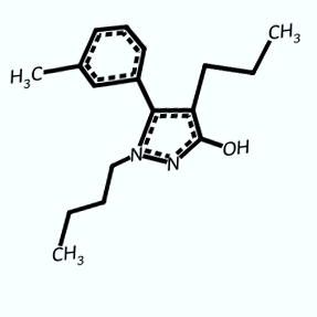 CCCCn1nc(O)c(CCC)c1-c1cccc(C)c1